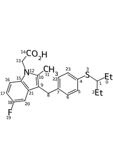 CCC(CC)Sc1ccc(Cc2c(C)n(CC(=O)O)c3ccc(F)cc23)cc1